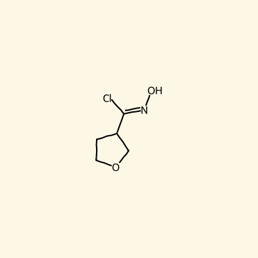 ON=C(Cl)C1CCOC1